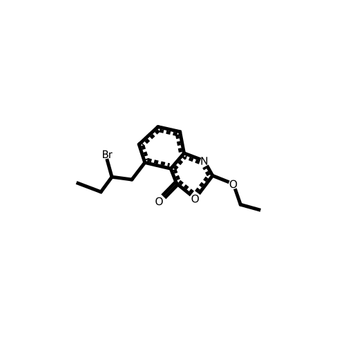 CCOc1nc2cccc(CC(Br)CC)c2c(=O)o1